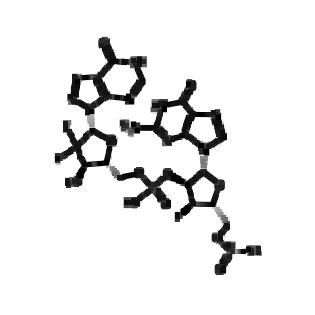 Nc1nc2c(ncn2[C@@H]2O[C@H](CO[PH](=O)S)[C@@H](F)[C@H]2OP(=O)(S)OC[C@H]2O[C@@H](n3nnc4c(=O)[nH]cnc43)C(F)(F)[C@@H]2O)c(=O)[nH]1